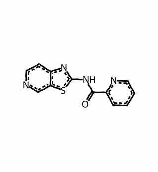 O=C(Nc1nc2ccncc2s1)c1ccccn1